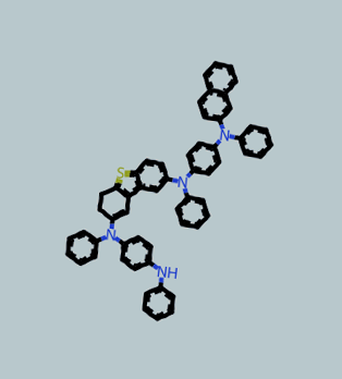 C1=C(N(c2ccccc2)c2ccc(Nc3ccccc3)cc2)CCc2sc3ccc(N(c4ccccc4)c4ccc(N(c5ccccc5)c5ccc6ccccc6c5)cc4)cc3c21